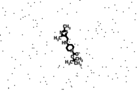 Cc1nc(C)c(CNC2CCN(C(=O)OC(C)(C)C)CC2)s1